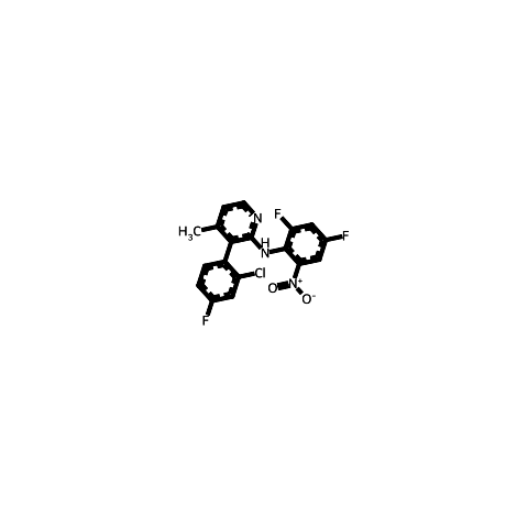 Cc1ccnc(Nc2c(F)cc(F)cc2[N+](=O)[O-])c1-c1ccc(F)cc1Cl